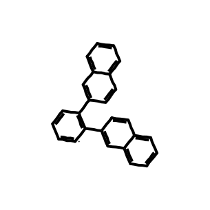 [c]1cccc(-c2ccc3ccccc3c2)c1-c1ccc2ccccc2c1